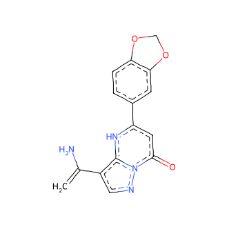 C=C(N)c1cnn2c(=O)cc(-c3ccc4c(c3)OCO4)[nH]c12